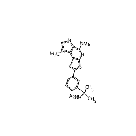 CNc1nc2sc(-c3cccc(C(C)(C)NC(C)=O)c3)nc2c2c1ncn2C